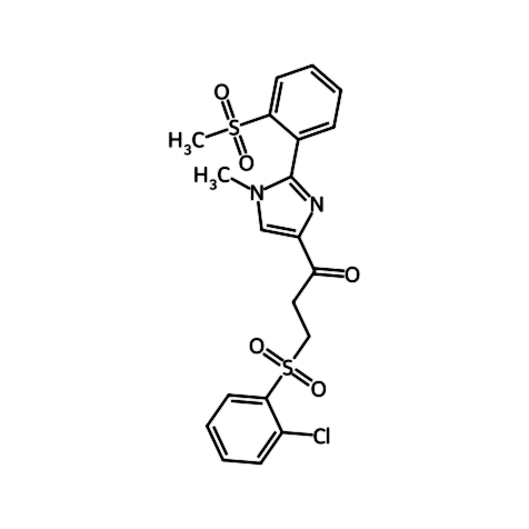 Cn1cc(C(=O)CCS(=O)(=O)c2ccccc2Cl)nc1-c1ccccc1S(C)(=O)=O